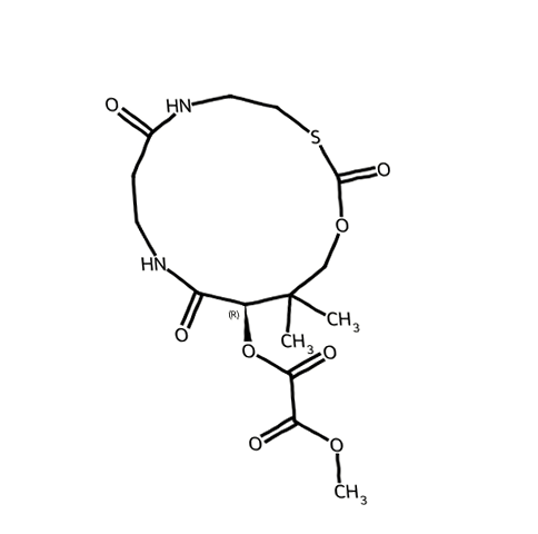 COC(=O)C(=O)O[C@H]1C(=O)NCCC(=O)NCCSC(=O)OCC1(C)C